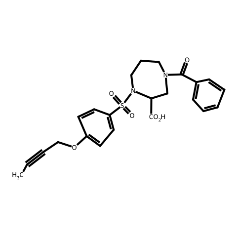 CC#CCOc1ccc(S(=O)(=O)N2CCCN(C(=O)c3ccccc3)CC2C(=O)O)cc1